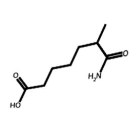 CC(CCCCC(=O)O)C(N)=O